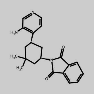 CC1(C)C[C@@H](c2ccncc2N)C[C@@H](N2C(=O)c3ccccc3C2=O)C1